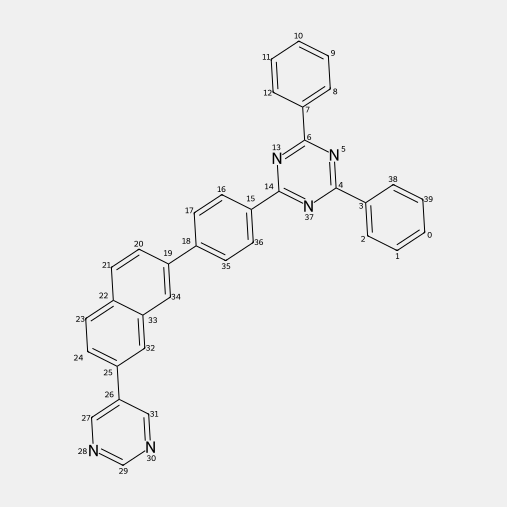 c1ccc(-c2nc(-c3ccccc3)nc(-c3ccc(-c4ccc5ccc(-c6cncnc6)cc5c4)cc3)n2)cc1